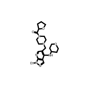 CCn1ncc2c(NC3CCOCC3)c(CN3CCN(C(=O)C4CCCO4)CC3)cnc21